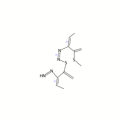 C=C(S/N=N\C(=C\C)C(=C)SC)/C(=C\C)N=N